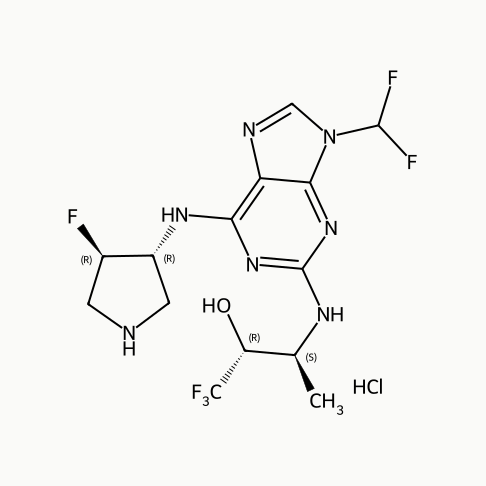 C[C@H](Nc1nc(N[C@@H]2CNC[C@H]2F)c2ncn(C(F)F)c2n1)[C@@H](O)C(F)(F)F.Cl